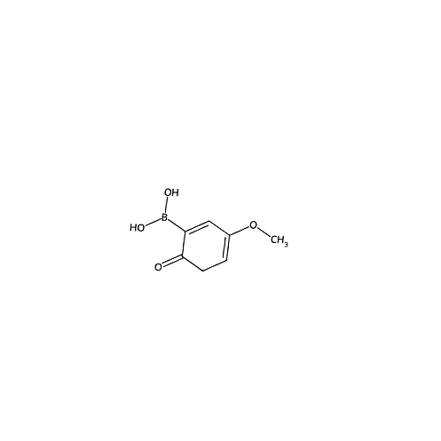 COC1=CCC(=O)C(B(O)O)=C1